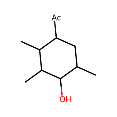 CC(=O)C1CC(C)C(O)C(C)C1C